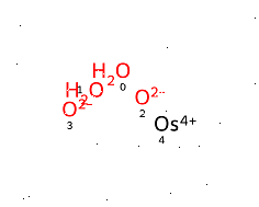 O.O.[O-2].[O-2].[Os+4]